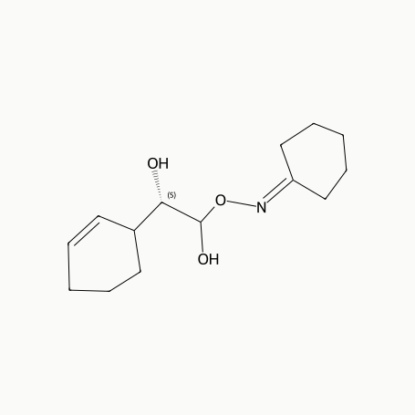 OC(ON=C1CCCCC1)[C@@H](O)C1C=CCCC1